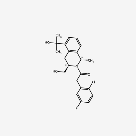 C[C@H]1c2cccc(C(C)(C)O)c2C[C@H](CO)N1C(=O)Cc1cc(F)ccc1Cl